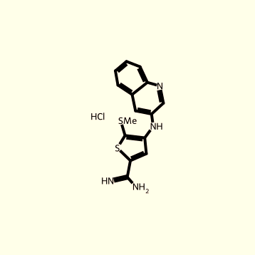 CSc1sc(C(=N)N)cc1Nc1cnc2ccccc2c1.Cl